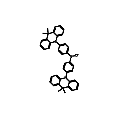 CC1(C)c2ccccc2N(c2ccc([S+]([O-])c3ccc(N4c5ccccc5C(C)(C)c5ccccc54)cc3)cc2)c2ccccc21